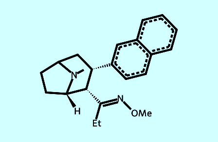 CCC(=NOC)[C@H]1[C@@H](c2ccc3ccccc3c2)CC2CC[C@@H]1N2C